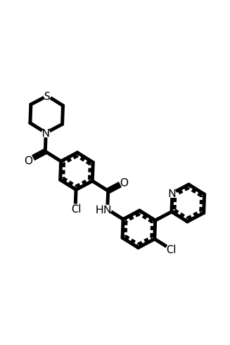 O=C(Nc1ccc(Cl)c(-c2ccccn2)c1)c1ccc(C(=O)N2CCSCC2)cc1Cl